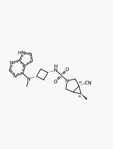 C[C@H]1C2CN(S(=O)(=O)N[C@H]3C[C@@H](N(C)c4ncnc5[nH]ccc45)C3)C[C@]21C#N